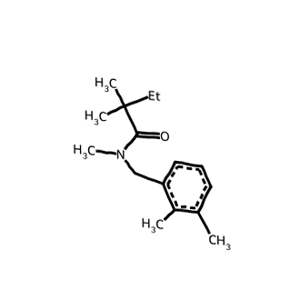 CCC(C)(C)C(=O)N(C)Cc1cccc(C)c1C